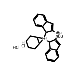 CCCCC1=Cc2ccccc2[CH]1[Hf]1([CH]2C(CCCC)=Cc3ccccc32)[CH]2CCCC[CH]21.Cl.Cl